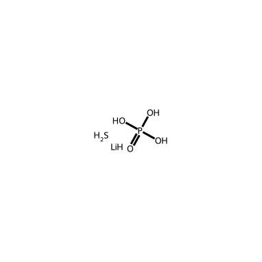 O=P(O)(O)O.S.[LiH]